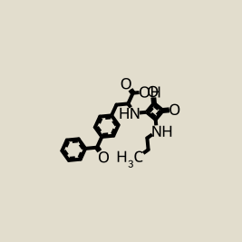 CCCNc1c(NC(Cc2ccc(C(=O)c3ccccc3)cc2)C(=O)O)c(=O)c1=O